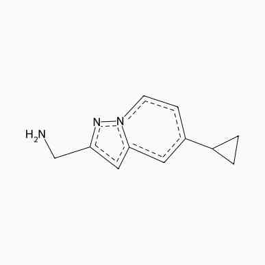 NCc1cc2cc(C3CC3)ccn2n1